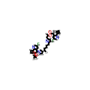 BC(C(=O)OC(C)CC1C=CC(CCCCC(C)[C@@H]2CCN(C(C(=O)OC(C)(C)C)c3cc(F)cnc3C3CCC3)C2)=N1)c1cc(F)cnc1C1CCC1